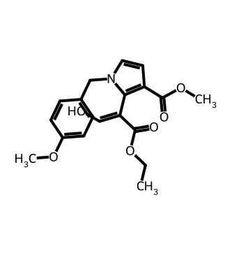 CCOC(=O)/C(=C/O)c1c(C(=O)OC)ccn1Cc1ccc(OC)cc1